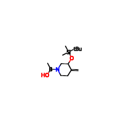 C=C1CCN(B(C)O)CC1O[Si](C)(C)C(C)(C)C